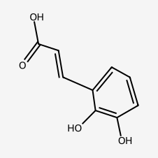 O=C(O)C=Cc1cccc(O)c1O